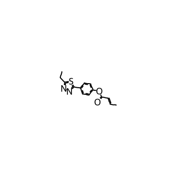 CC=CC(=O)Oc1ccc(-c2nnc(CC)s2)cc1